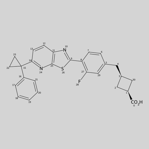 O=C(O)[C@H]1C[C@@H](Cc2ccc(-c3nc4ccc(C5(c6ccccc6)CC5)nc4s3)c(F)c2)C1